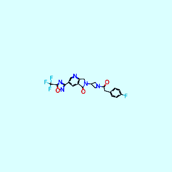 O=C(Cc1ccc(F)cc1)N1CC(N2Cc3ncc(-c4noc(C(F)(F)F)n4)cc3C2=O)C1